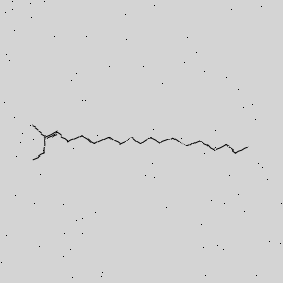 CCCCCCCCCCCCCCCCC=C(C)CC